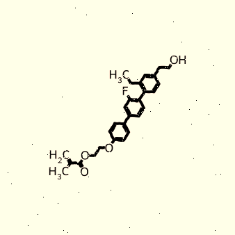 C=C(C)C(=O)OCCOc1ccc(-c2ccc(-c3ccc(CCO)cc3CC)c(F)c2)cc1